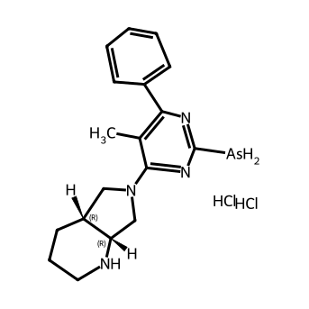 Cc1c(-c2ccccc2)nc([AsH2])nc1N1C[C@H]2CCCN[C@H]2C1.Cl.Cl